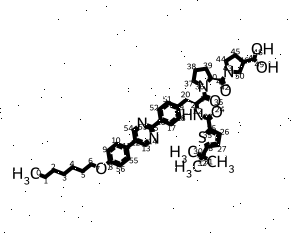 CCCCCCCOc1ccc(-c2cnc(-c3ccc(C[C@H](NC(=O)c4ccc(C(C)(C)C)s4)C(=O)N4CCC[C@H]4C(=O)N4CCC(C(O)O)C4)cc3)nc2)cc1